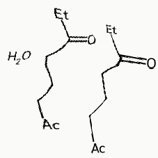 CCC(=O)CCCC(C)=O.CCC(=O)CCCC(C)=O.O